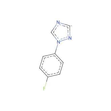 Fc1ccc(-n2cn[c]n2)cc1